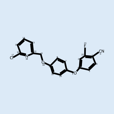 N#Cc1ccc(Oc2ccc(OCc3cccc(Cl)n3)cc2)cc1F